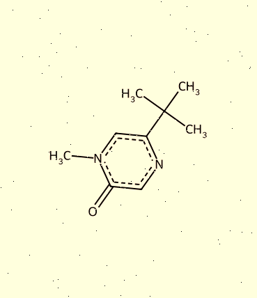 Cn1cc(C(C)(C)C)ncc1=O